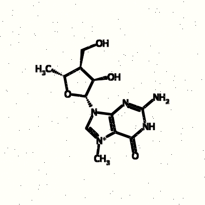 C[C@H]1O[C@@H](n2c[n+](C)c3c(=O)[nH]c(N)nc32)[C@H](O)[C@@H]1CO